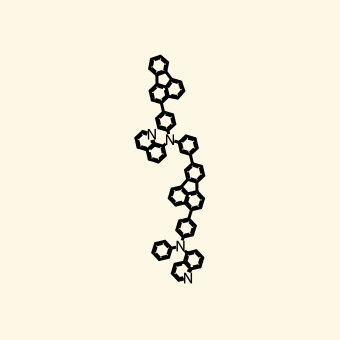 c1ccc(N(c2ccc(-c3ccc4c5c(cccc35)-c3cc(-c5cccc(N(c6ccc(-c7ccc8c9c(cccc79)-c7ccccc7-8)cc6)c6cccc7cccnc67)c5)ccc3-4)cc2)c2cccc3ncccc23)cc1